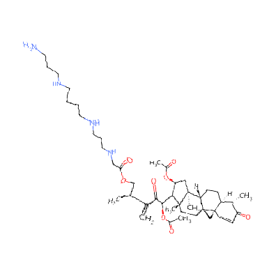 C=C(C(=O)[C@H](OC(C)=O)C1[C@@H](OC(C)=O)C[C@@]2(C)[C@@H]3CC[C@H]4[C@H](C)C(=O)C=C[C@@]45C[C@@]35CC[C@]12C)[C@@H](C)COC(=O)CNCCCNCCCCNCCCN